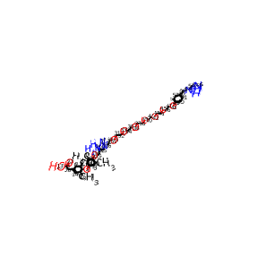 Cc1cc(Oc2c(C)cc(CC(=O)O)cc2C)cc(C)c1OC/C(N)=C/N(N)CCOCCOCCOCCOCCOCCOCCOc1ccc(CNC=N)cc1